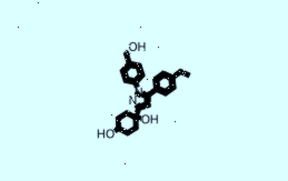 CCc1ccc(-c2cc(C3(O)CCC(O)CC3)nn2-c2ccc(CO)cc2)cc1